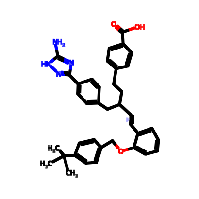 CC(C)(C)c1ccc(COc2ccccc2/C=C/C(CCc2ccc(C(=O)O)cc2)Cc2ccc(-c3n[nH]c(N)n3)cc2)cc1